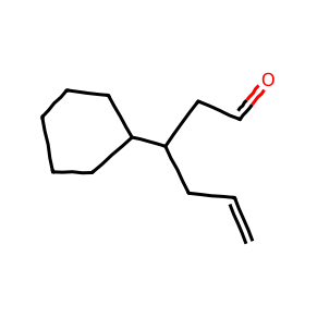 C=CCC(CC=O)C1CCCCC1